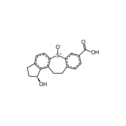 O=C(O)c1ccc2c(c1)[S+]([O-])c1ccc3c(c1CC2)[C@@H](O)CC3